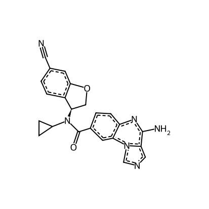 N#Cc1ccc2c(c1)OC[C@H]2N(C(=O)c1ccc2nc(N)c3cncn3c2c1)C1CC1